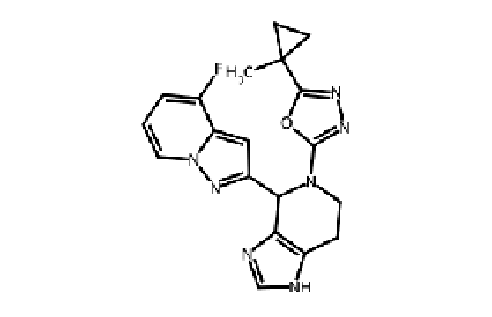 CC1(c2nnc(N3CCc4[nH]cnc4C3c3cc4c(F)cccn4n3)o2)CC1